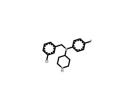 Fc1ccc(N(Cc2cccc(Cl)c2)C2CCNCC2)cc1